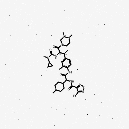 CCc1nonc1C(=O)NC(C(=O)Nc1ccc([C@H](C)[C@@H](NC(=O)N(C)C2CC2)C(=O)N2CCN(C)[C@H](C)C2)cc1F)C1CCC(C)CC1